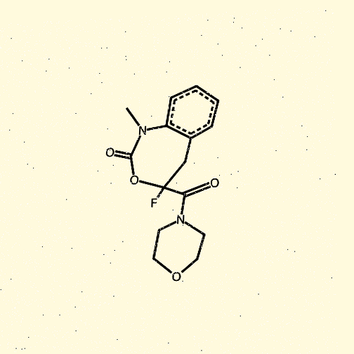 CN1C(=O)OC(F)(C(=O)N2CCOCC2)Cc2ccccc21